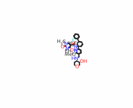 COc1nc(C2(NC(=O)c3cn(C)c(=O)n(C)c3=O)C=CC=C(c3ccccc3F)C2C)ccc1CN[C@@H]1CCOC[C@@H]1O